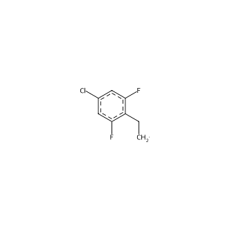 [CH2]Cc1c(F)cc(Cl)cc1F